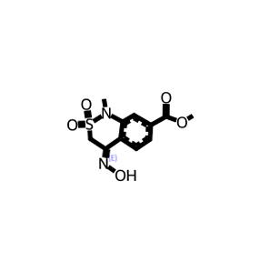 COC(=O)c1ccc2c(c1)N(C)S(=O)(=O)C/C2=N/O